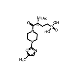 CC(=O)N[C@@H](CCP(=O)(O)O)C(=O)N1CCN(c2ncc(C)o2)CC1